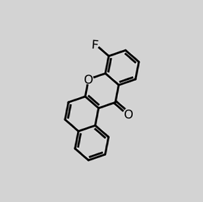 O=c1c2cccc(F)c2oc2ccc3ccccc3c12